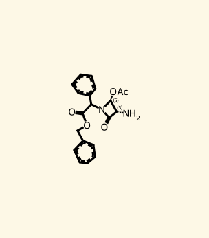 CC(=O)O[C@H]1[C@H](N)C(=O)N1C(C(=O)OCc1ccccc1)c1ccccc1